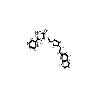 O=C(N[C@@H](CCN1CC[C@@H](CCc2ccc3c(n2)NCCC3)C1)C(=O)O)c1cnccn1